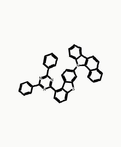 c1ccc(-c2nc(-c3ccccc3)nc(-c3cccc4sc5cc(-n6c7ccccc7c7ccc8ccccc8c76)ccc5c34)n2)cc1